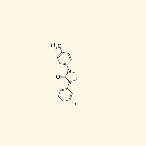 Cc1ccc(N2CCN(c3cccc(I)c3)C2=O)cc1